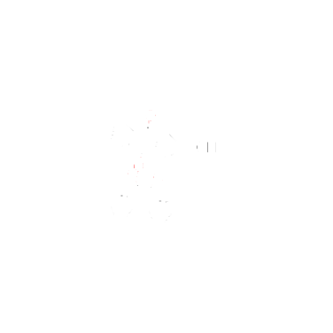 CCc1ccc2c(c1)C(=O)c1ccccc1C2=O.O=C1C(=O)c2ccccc2-c2ccccc21